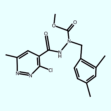 COC(=O)N(Cc1ccc(C)cc1C)NC(=O)c1cc(C)nnc1Cl